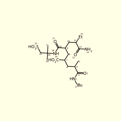 CCC(C)NC(=O)C(C)CC(CC(CC(CC)C(N)=O)C(=O)NC(C)(C)CS(=O)(=O)O)C(=O)O